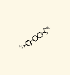 CC(C)(C)OC(=O)N1CCC2(CC1)CCN(c1ccc(N)cn1)CC2